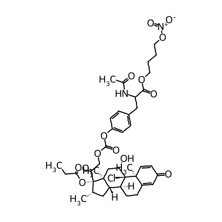 CCC(=O)O[C@@]1(C(=O)COC(=O)Oc2ccc(CC(NC(C)=O)C(=O)OCCCCO[N+](=O)[O-])cc2)[C@@H](C)C[C@H]2[C@@H]3CCC4=CC(=O)C=C[C@]4(C)[C@@]3(Cl)[C@@H](O)C[C@@]21C